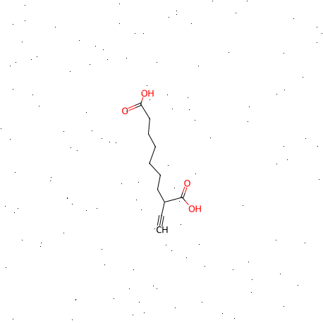 C#CC(CCCCCCC(=O)O)C(=O)O